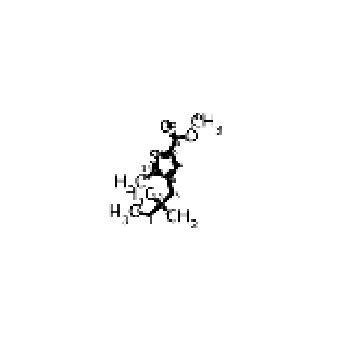 CCC(C)(C)Cc1cc(C(=O)OC)sc1C